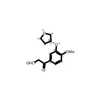 COc1ccc(C(=O)CC=O)cc1O[C@@H]1CCOC1